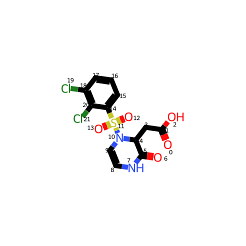 O=C(O)CC1C(=O)NC=CN1S(=O)(=O)c1cccc(Cl)c1Cl